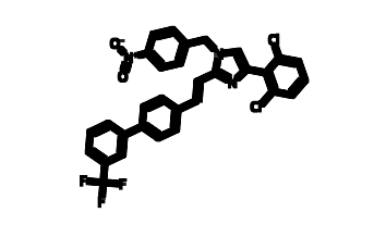 O=[N+]([O-])c1ccc(Cn2cc(-c3c(Cl)cccc3Cl)nc2/C=C/c2ccc(-c3cccc(C(F)(F)F)c3)cc2)cc1